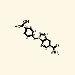 NC(=O)c1cnc2c(c1)ncn2Cc1ccc(B(O)O)cc1